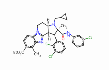 CCOC(=O)c1ccc2c(nc3n2CC[C@H]2[C@@H]3[C@H](c3cccc(Cl)c3F)[C@](C)(C(=O)Nc3cccc(Cl)c3)N2CC2CC2)c1C